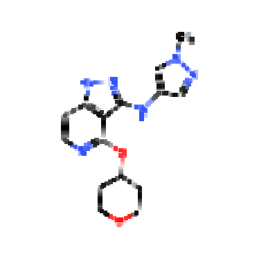 Cn1cc(Nc2n[nH]c3ccnc(OC4CCOCC4)c23)cn1